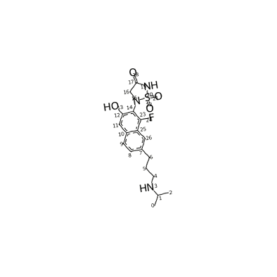 CC(C)NCCCc1ccc2cc(O)c(N3CC(=O)NS3(=O)=O)c(F)c2c1